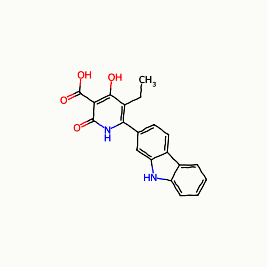 CCc1c(-c2ccc3c(c2)[nH]c2ccccc23)[nH]c(=O)c(C(=O)O)c1O